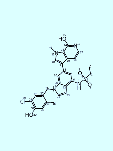 CCS(=O)(=O)Nc1cc(-c2cn(C)c3c(O)nccc23)cc2c1ccn2Cc1cc(Cl)c(O)cc1C